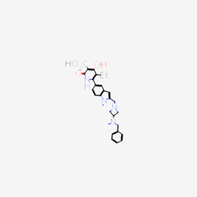 CCc1c(-c2ccc3c(c2)cc(CN2CC(N(C)Cc4ccccc4)C2)n3C)[nH]c(=O)c(C(=O)O)c1O